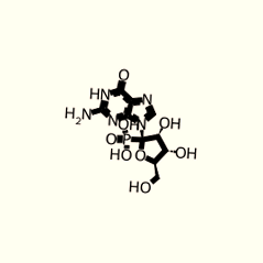 Nc1nc2c(ncn2[C@]2(P(=O)(O)O)O[C@H](CO)[C@@H](O)[C@H]2O)c(=O)[nH]1